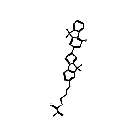 C=C(C)C(=O)OCCCCc1ccc2c(c1)C(C)(C)c1cc(-c3cc(F)c4c(c3)C(C)(C)c3ccccc3-4)ccc1-2